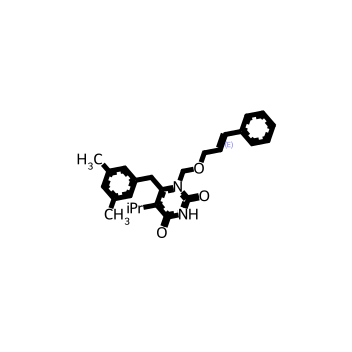 Cc1cc(C)cc(Cc2c(C(C)C)c(=O)[nH]c(=O)n2COC/C=C/c2ccccc2)c1